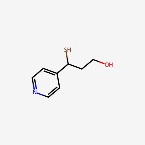 OCCC(S)c1ccncc1